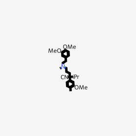 [C-]#[N+]C(CCCN(C)CCc1ccc(OC)c(OC)c1)(c1ccc(C)c(OC)c1)C(C)C